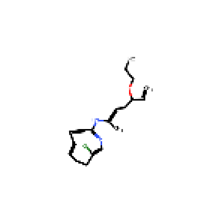 C=CC(C/C=C(\C)NC1=N/C=C(\Cl)CC/C=C/C=C\1)OCCN=O